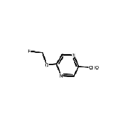 O=Cc1cnc(OCF)cn1